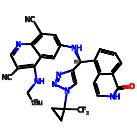 CC(C)(C)CNc1c(C#N)cnc2c(C#N)cc(N[C@H](c3cn(C4(C(F)(F)F)CC4)nn3)c3cccc4c(=O)[nH]ccc34)cc12